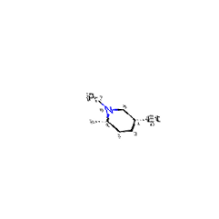 CC[C@@H]1CC[C@H](C)N(C(C)C)C1